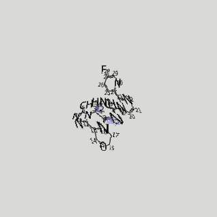 C=C(/N=C1\C(=C/N)n2c(C)nnc2C2COCCN12)n1ccnc1-c1ccc(F)cn1